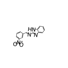 O=[N+]([O-])c1cccc(/C=N/c2nc3ccccc3[nH]2)c1